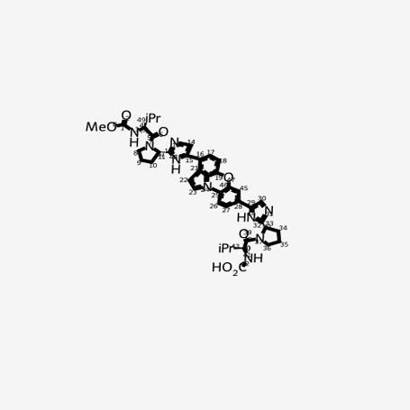 COC(=O)N[C@H](C(=O)N1CCC[C@H]1c1ncc(-c2ccc3c4c2ccn4-c2ccc(-c4cnc([C@@H]5CCCN5C(=O)[C@@H](NC(=O)O)C(C)C)[nH]4)cc2O3)[nH]1)C(C)C